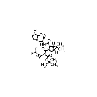 CC(C)(C)OC(=O)N(C(=O)N1C[C@H]2[C@@H]([C@H]1C(=O)N[C@H](C#N)C[C@@H]1CCNC1=O)C2(C)C)C1C[C@H]1C(F)F